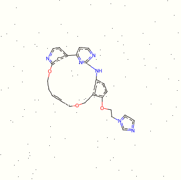 C1=C/COCc2cc(ccc2OCCn2ccnc2)Nc2nccc(n2)-c2ccnc(c2)OCC/1